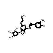 CCCSc1nc(NC2CC2c2ccc(Cl)c(C)c2)c2nnn([C@H]3C[C@@H](O)[C@H](O)[C@@H]3O)c2n1